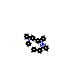 c1ccc(-c2cccc(-c3nc(-n4c5ccccc5c5cc(-c6ccc7c8ccccc8n(-c8ccccc8)c7c6)ccc54)nc4ccccc34)c2)cc1